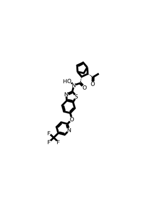 CC(=O)[C@H]1C2C=CC(C2)[C@H]1C(=O)N(O)c1nc2ccc(Oc3ccc(C(F)(F)F)cn3)cc2s1